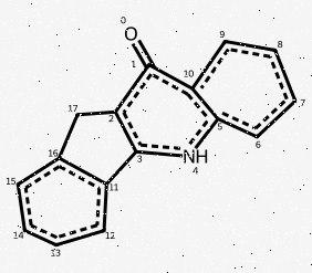 O=c1c2c([nH]c3ccccc13)-c1ccccc1C2